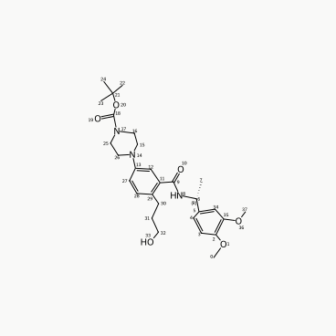 COc1ccc([C@@H](C)NC(=O)c2cc(N3CCN(C(=O)OC(C)(C)C)CC3)ccc2CCCO)cc1OC